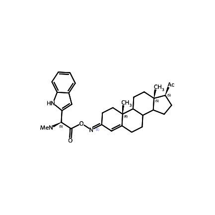 CN[C@H](C(=O)O/N=C1/C=C2CCC3C(CC[C@@]4(C)C3CC[C@@H]4C(C)=O)[C@@]2(C)CC1)c1cc2ccccc2[nH]1